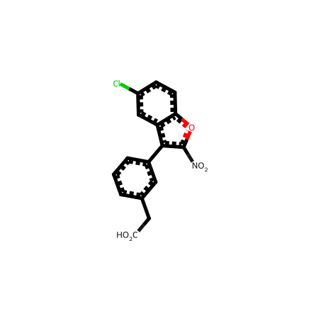 O=C(O)Cc1cccc(-c2c([N+](=O)[O-])oc3ccc(Cl)cc23)c1